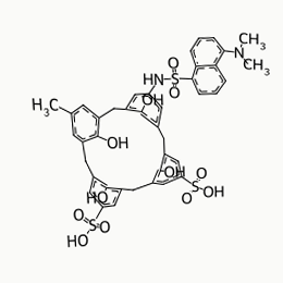 Cc1cc2c(O)c(c1)Cc1cc(S(=O)(=O)O)cc(c1O)Cc1cc(S(=O)(=O)O)cc(c1O)Cc1cc(NS(=O)(=O)c3cccc4c(N(C)C)cccc34)cc(c1O)C2